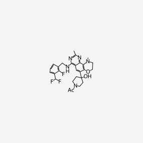 CC(=O)N1CCC(O)(c2cc3c(NCc4cccc(C(F)F)c4F)nc(C)nc3c3c2OCCN3C)CC1